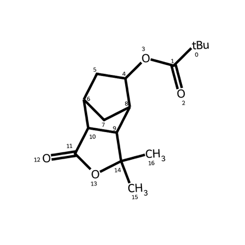 CC(C)(C)C(=O)OC1CC2CC1C1C2C(=O)OC1(C)C